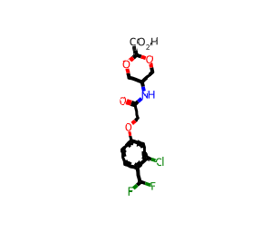 O=C(COc1ccc(C(F)F)c(Cl)c1)NC1COC(C(=O)O)OC1